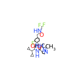 CC(C)n1nccc1C(=O)NC(C(=O)Nc1ccc(CC(=O)NCC(F)F)cc1F)C(C1CC1)C1CC1